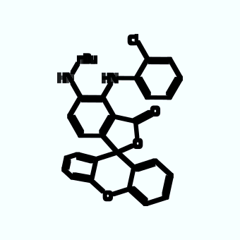 CCCCNc1ccc2c(c1Nc1ccccc1Cl)C(=O)OC21c2ccccc2Oc2ccccc21